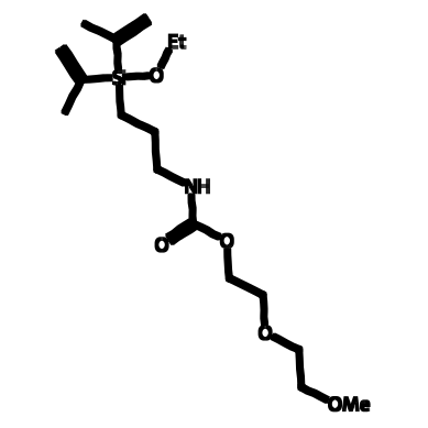 C=C(C)[Si](CCCNC(=O)OCCOCCOC)(OCC)C(=C)C